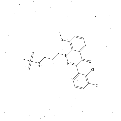 COc1cccc2c(=O)c(-c3cccc(Cl)c3Cl)nn(CCCNS(C)(=O)=O)c12